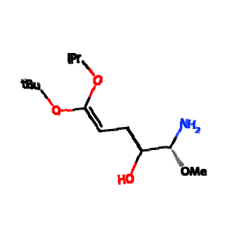 CO[C@@H](N)C(O)C/C=C(\OC(C)C)OC(C)(C)C